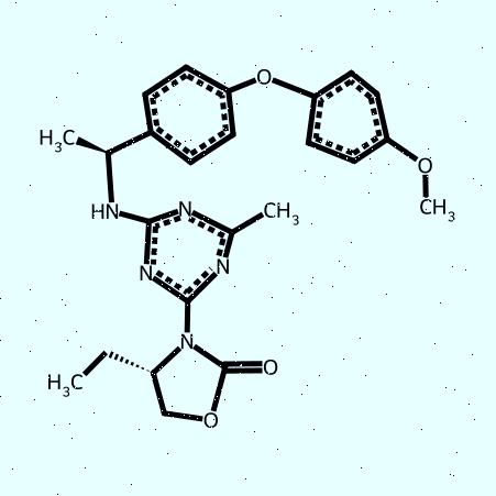 CC[C@H]1COC(=O)N1c1nc(C)nc(N[C@@H](C)c2ccc(Oc3ccc(OC)cc3)cc2)n1